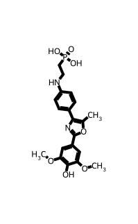 COc1cc(-c2nc(-c3ccc(NCCP(=O)(O)O)cc3)c(C)o2)cc(OC)c1O